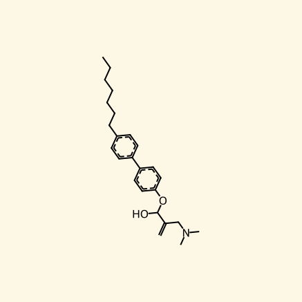 C=C(CN(C)C)C(O)Oc1ccc(-c2ccc(CCCCCCC)cc2)cc1